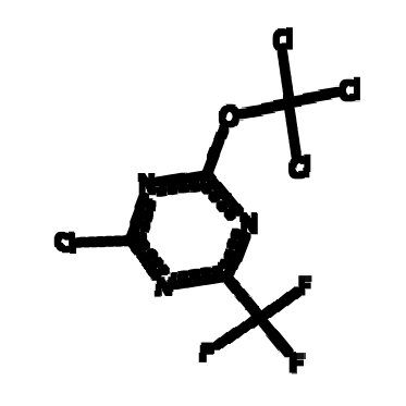 FC(F)(F)c1nc(Cl)nc(OC(Cl)(Cl)Cl)n1